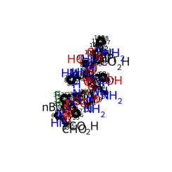 CCCC[C@@H](C(=O)N1CCC[C@@H]1C(=O)N[C@H](C=O)CC(=O)O)N(C)C(=O)[C@H](Cc1ccccc1)N(C)C(=O)[C@H](Cc1cc(F)c(F)c(F)c1)NC(=O)CSC[C@H](NC(=O)[C@H](CCCN)NC(=O)[C@H](Cc1ccc(O)cc1)NC(=O)[C@H](Cc1c[nH]c2ccccc12)NC(=O)[C@H]1C[C@H](O)CN1C(=O)[C@H](CCC(=O)O)NCC(=O)[C@H](Cc1ccccc1)N(C)C(=O)[C@@H](N)C(C)C)C(=O)NCC(N)=O